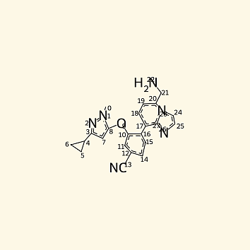 Cn1nc(C2CC2)cc1Oc1cc(C#N)ccc1-c1ccc(CN)n2ccnc12